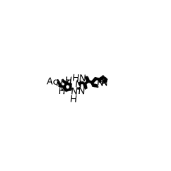 CC(=O)N1C[C@H]2CC(Nc3ncc4c(-c5ccn6nccc6c5)c[nH]c4n3)C[C@H]2C1